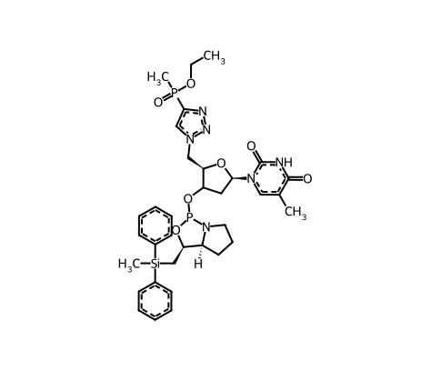 CCOP(C)(=O)c1cn(C[C@H]2O[C@@H](n3cc(C)c(=O)[nH]c3=O)CC2OP2O[C@H](C[Si](C)(c3ccccc3)c3ccccc3)[C@@H]3CCCN32)nn1